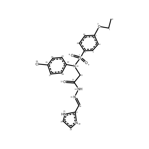 CCOc1ccc(S(=O)(=O)N(CC(=O)NN=Cc2ncc[nH]2)c2ccc(Cl)cc2)cc1